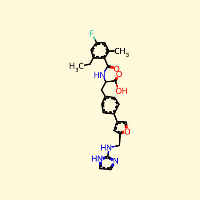 CCc1cc(F)cc(C)c1C(=O)NC(Cc1ccc(-c2coc(CNc3ncc[nH]3)c2)cc1)C(=O)O